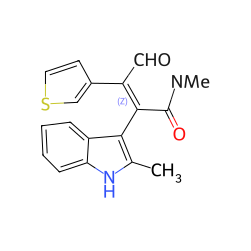 CNC(=O)/C(=C(\C=O)c1ccsc1)c1c(C)[nH]c2ccccc12